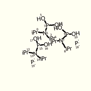 CC(C)N(C(C)C)P(O)O.CC(C)N(C(C)C)P(O)O.CC(C)N(C(C)C)P(O)O.[P].[P]